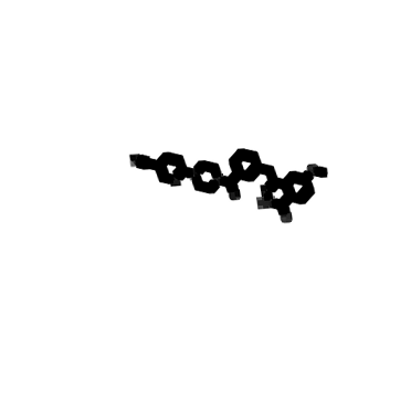 COc1ccc2c(=O)[nH]nc(Cc3cccc(C(=O)N4CCN(c5ccc(C#N)cn5)CC4)c3)c2c1